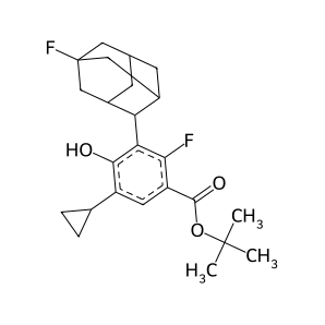 CC(C)(C)OC(=O)c1cc(C2CC2)c(O)c(C2C3CC4CC2CC(F)(C4)C3)c1F